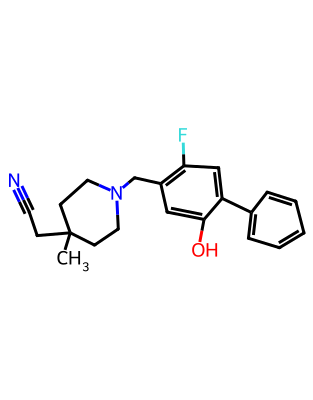 CC1(CC#N)CCN(Cc2cc(O)c(-c3ccccc3)cc2F)CC1